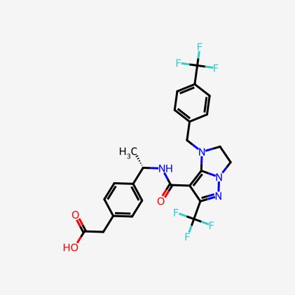 C[C@H](NC(=O)c1c(C(F)(F)F)nn2c1N(Cc1ccc(C(F)(F)F)cc1)CC2)c1ccc(CC(=O)O)cc1